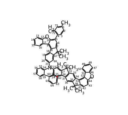 Cc1ccc(-c2cc3c(c4c2oc2ccccc24)-c2ccc(N(c4ccc5c(c4)C(C)(C)c4cc6c(cc4-5)C(C)(C)c4ccc5oc7ccccc7c5c4-6)c4ccccc4-c4ccccc4)cc2C3(C)C)c(C)c1